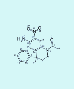 CC(=O)N1CCC(C)(c2ccccc2)c2cc(N)c([N+](=O)[O-])cc21